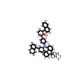 CC1(C)c2ccccc2-c2c(N(c3ccc(C4=CC=CC5c6c(ccc7ccccc67)OC45)cc3)C3C=C(c4cccc5c4C=CCC5)C=CC3)cccc21